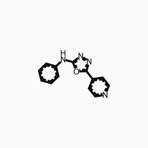 c1ccc(Nc2nnc(-c3ccncc3)o2)cc1